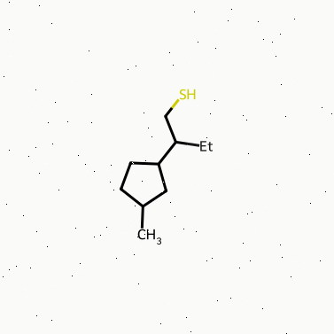 CCC(CS)C1CCC(C)C1